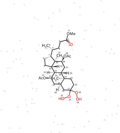 COC(=O)CC[C@@H](C)[C@H]1CC[C@H]2[C@@H]3[C@H](OC(C)=O)C[C@@H]4CC(OO)(OO)CC[C@]4(C)[C@H]3C[C@H](OC(C)=O)[C@]12C